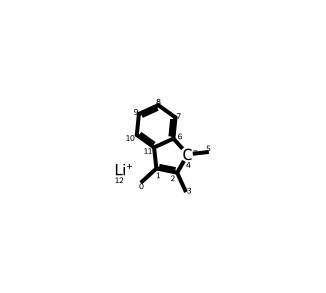 Cc1c(C)[c-](C)c2ccccc12.[Li+]